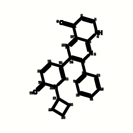 O=c1cc[nH]c2nc(-c3ccccc3)c(-c3ccc(=O)n(C4CCC4)c3)nc12